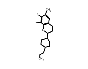 CCCC1CCC(C2CCc3cc(C)c(F)c(F)c3O2)CC1